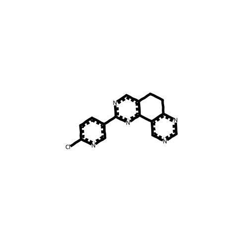 Clc1ccc(-c2ncc3c(n2)-c2cncnc2CC3)cn1